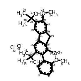 COc1ccccc1-c1c(C(C)(C)C)cc2c([c]1[Zr+2])Cc1cc(OC)c(C(C)(C)C)cc1-2.[Cl-].[Cl-]